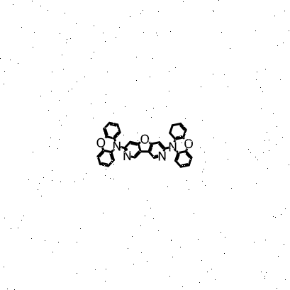 C1=CC2=C(CC1)N(c1cc3oc4cc(N5c6ccccc6Oc6ccccc65)ncc4c3cn1)c1ccccc1O2